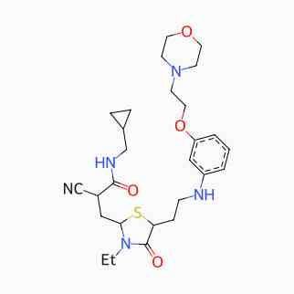 CCN1C(=O)C(CCNc2cccc(OCCN3CCOCC3)c2)SC1CC(C#N)C(=O)NCC1CC1